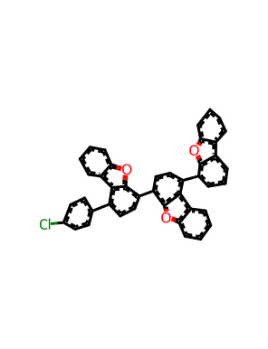 Clc1ccc(-c2ccc(-c3ccc(-c4cccc5c4oc4ccccc45)c4c3oc3ccccc34)c3oc4ccccc4c23)cc1